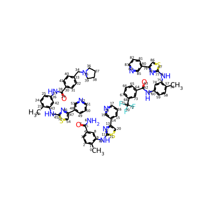 Cc1ccc(C(N)=O)cc1Nc1nc(-c2cccnc2)cs1.Cc1ccc(NC(=O)c2ccc(CN3CCCC3)cc2)cc1Nc1nc(-c2cccnc2)cs1.Cc1ccc(NC(=O)c2cccc(C(F)(F)F)c2)cc1Nc1nc(-c2cccnc2)cs1